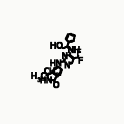 CC1(C)NC(=O)c2ccc(Nc3ncc(C(F)F)c(NC(CO)c4ccccc4)n3)cc21